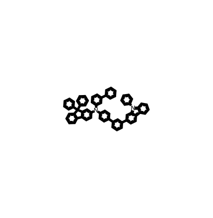 c1ccc(-c2cccc(N(c3ccc(-c4cccc(-c5ccc6c7ccccc7n(-c7ccccc7)c6c5)c4)cc3)c3ccc4c(c3)C(c3ccccc3)(c3ccccc3)c3ccccc3-4)c2)cc1